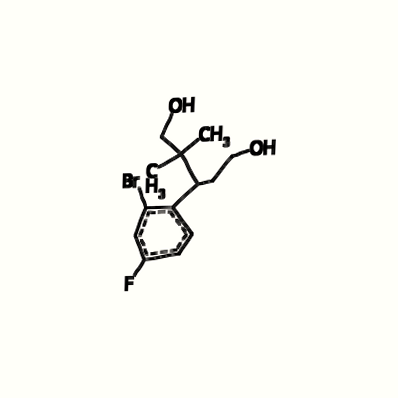 CC(C)(CO)C(CCO)c1ccc(F)cc1Br